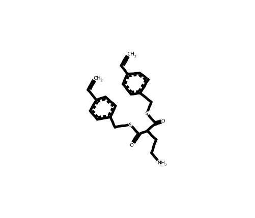 C=Cc1ccc(CSC(=O)C(CCN)C(=O)SCc2ccc(C=C)cc2)cc1